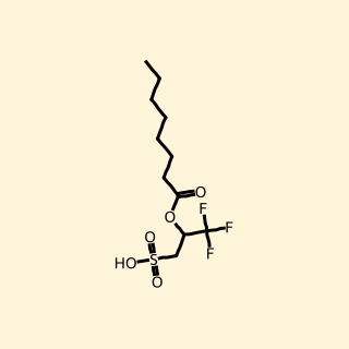 CCCCCCCC(=O)OC(CS(=O)(=O)O)C(F)(F)F